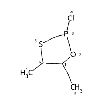 CC1OP(Cl)SC1C